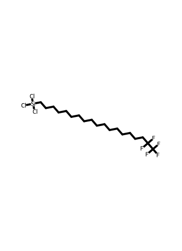 FC(F)(F)C(F)(F)CCCCCCCCCCCCCCCCC[Si](Cl)(Cl)Cl